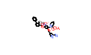 Cc1c(COc2cc(OCc3ccnc(C#N)c3)c(CN3CCCC[C@H]3C(=O)O)cc2[N+](=O)[O-])cccc1-c1ccccc1